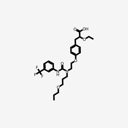 CCCOCCCN(CCOc1ccc(CC(OCC)C(=O)O)cc1)C(=O)Nc1cccc(C(F)(F)F)c1